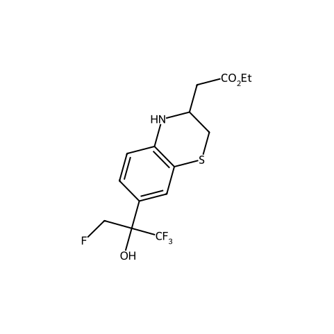 CCOC(=O)CC1CSc2cc(C(O)(CF)C(F)(F)F)ccc2N1